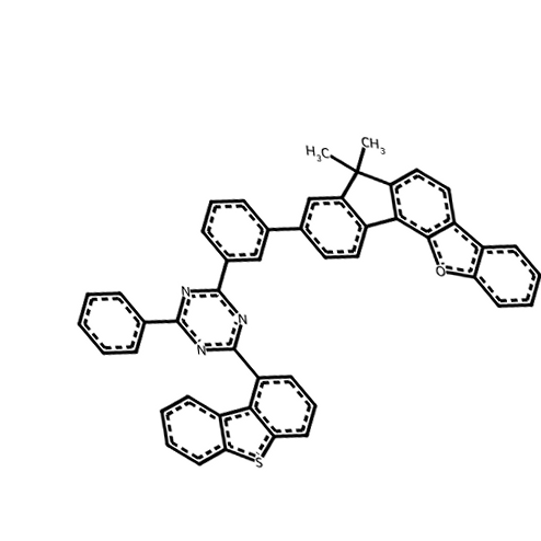 CC1(C)c2cc(-c3cccc(-c4nc(-c5ccccc5)nc(-c5cccc6sc7ccccc7c56)n4)c3)ccc2-c2c1ccc1c2oc2ccccc21